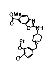 CCOc1cc(CN2CCC(Nc3nc4ccc(C(=O)OC)cc4o3)CC2)ccc1Cl